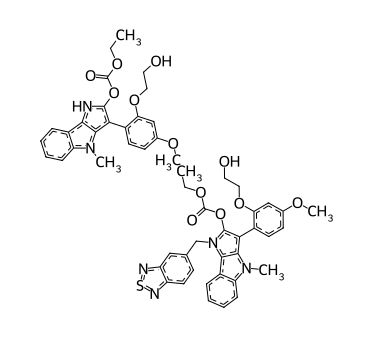 CCOC(=O)Oc1[nH]c2c3ccccc3n(C)c2c1-c1ccc(OC)cc1OCCO.CCOC(=O)Oc1c(-c2ccc(OC)cc2OCCO)c2c(c3ccccc3n2C)n1Cc1ccc2nsnc2c1